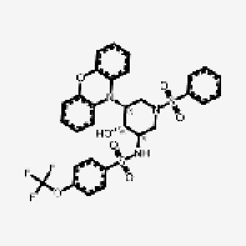 O=S(=O)(N[C@@H]1CN(S(=O)(=O)c2ccccc2)C[C@H](N2c3ccccc3Oc3ccccc32)[C@H]1O)c1ccc(OC(F)(F)F)cc1